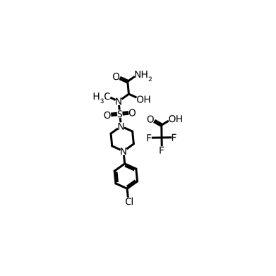 CN(C(O)C(N)=O)S(=O)(=O)N1CCN(c2ccc(Cl)cc2)CC1.O=C(O)C(F)(F)F